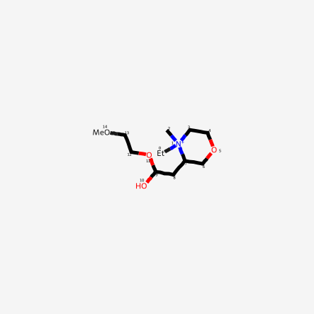 CC[N+]1(C)CCOCC1CC(O)OCCOC